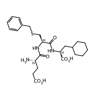 N[C@@H](CCC(=O)O)C(=O)N[C@@H](CSCc1ccccc1)C(=O)N[C@@H](CC1CCCCC1)C(=O)O